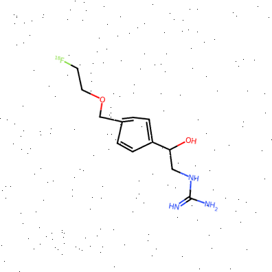 N=C(N)NCC(O)c1ccc(COCC[18F])cc1